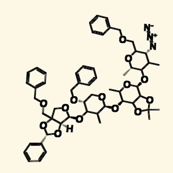 CC1C(O[C@@H]2OCC3(COCc4ccccc4)O[C@@H](c4ccccc4)O[C@H]23)[C@H](OCc2ccccc2)CO[C@H]1O[C@H]1C(C)O[C@@H](OC2C(C)[C@@H](N=[N+]=[N-])C(COCc3ccccc3)O[C@H]2C)C2OC(C)(C)OC21